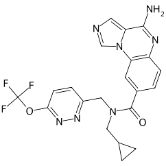 Nc1nc2ccc(C(=O)N(Cc3ccc(OC(F)(F)F)nn3)CC3CC3)cc2n2cncc12